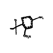 CCC(C)(C)c1ccc(N)cc1C(=O)O